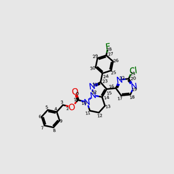 O=C(OCc1ccccc1)N1CCCc2c(-c3ccnc(Cl)n3)c(-c3ccc(F)cc3)nn21